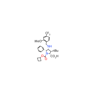 COc1cc(C(F)(F)F)ccc1CN[C@@H]1[C@@H](C(C)(C)C)[C@H](C(=O)O)N(C(=O)OC2CCC2)[C@@H]1c1ccccc1